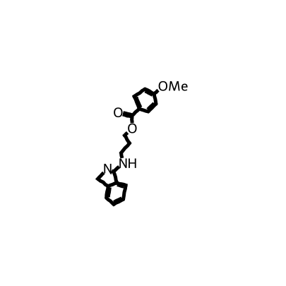 COc1ccc(C(=O)OCCCNC2=NCc3ccccc32)cc1